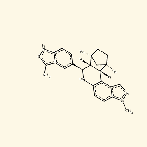 Cn1ncc2c3c(ccc21)N[C@@H](c1ccc2[nH]nc(N)c2c1)[C@@H]1[C@H]2CC[C@H](C2)[C@H]31